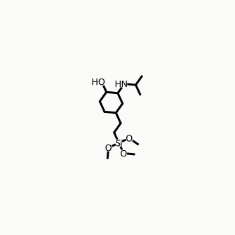 CO[Si](CCC1CCC(O)C(NC(C)C)C1)(OC)OC